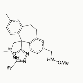 CONCc1ccc2c(c1)CCc1cc(C)ccc1C2(C[C@@H](C)N)c1nnc(C(C)C)o1